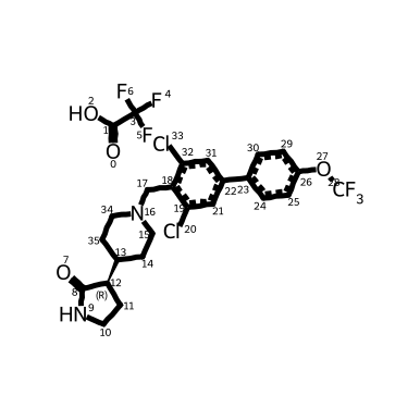 O=C(O)C(F)(F)F.O=C1NCC[C@@H]1C1CCN(Cc2c(Cl)cc(-c3ccc(OC(F)(F)F)cc3)cc2Cl)CC1